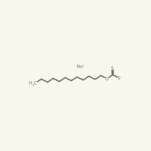 CCCCCCCCCCCCOC(=S)[S-].[Na+]